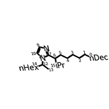 CCCCCCCCCCCCCCCC(c1nccn1C(C)CCCCCC)C(C)C